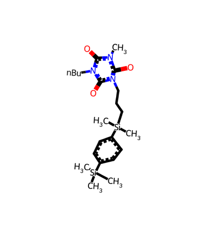 CCCCn1c(=O)n(C)c(=O)n(CCC[Si](C)(C)c2ccc([Si](C)(C)C)cc2)c1=O